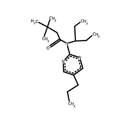 CCCc1cnc(N(C(=O)CC(C)(C)C)C(CC)CC)nc1